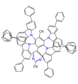 N#Cc1ncc(-c2c(-n3c4ccc(-c5ccccc5)cc4c4cc(-c5ccccc5)ccc43)c(-n3c4ccc(-c5ccccc5)cc4c4cc(-c5ccccc5)ccc43)c(C#N)c(-n3c4ccc(-c5ccccc5)cc4c4cc(-c5ccccc5)ccc43)c2-n2c3ccc(-c4ccccc4)cc3c3cc(-c4ccccc4)ccc32)cn1